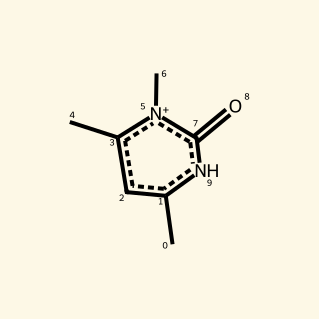 Cc1cc(C)[n+](C)c(=O)[nH]1